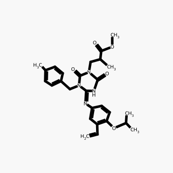 C=Cc1cc(N=c2[nH]c(=O)n(CC(C)C(=O)OC)c(=O)n2Cc2ccc(C)cc2)ccc1OC(C)C